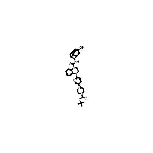 CC(C)(C)OC(=O)N1CCN(c2ccc(N3CCN(C(=O)NC4C5CC6CC4CC(O)(C6)C5)c4ccccc43)nc2)CC1